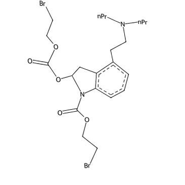 CCCN(CCC)CCc1cccc2c1CC(OC(=O)OCCBr)N2C(=O)OCCBr